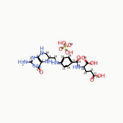 Nc1nc2c(c(=O)[nH]1)NC(CNc1ccc(C(=O)NC(CCC(=O)O)C(=O)O)cc1)CN2.O=S(=O)(O)O